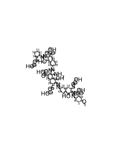 COc1ccc(N=Nc2c(SOOO)cc3cc(N=Nc4c(SOOO)cc5cc(S(=O)(=O)O)c(N=Nc6ccc7cc(S(=O)(=O)O)c(N=Nc8ccccc8SOOO)c(O)c7c6)c(N)c5c4O)ccc3c2O)c(S(=O)(=O)O)c1